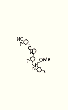 C=Cc1ccc2nc(Cc3ccc(-c4cccc(OCc5ccc(C#N)c(F)c5)n4)cc3F)n(CCOC)c2c1